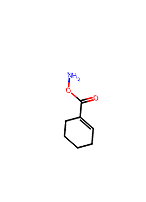 NOC(=O)C1=CCCCC1